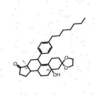 CCCCCCCc1ccc(C2C[C@]3(C)C(=O)CCC3C3CC[C@@]4(O)CC5(CCC4=C23)OCCO5)cc1